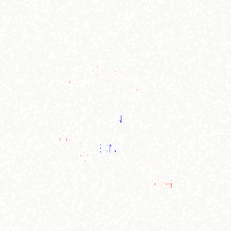 CCOC(=O)c1nc(NCCC(=O)O)c(C(=O)OCC)c(CC)c1C(=O)OCC